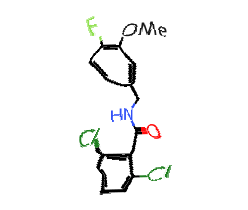 COc1cc(CNC(=O)c2c(Cl)cccc2Cl)ccc1F